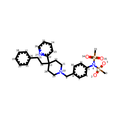 CS(=O)(=O)N(c1ccc(CN2CCC(CCc3ccccc3)(c3ccccn3)CC2)cc1)S(C)(=O)=O